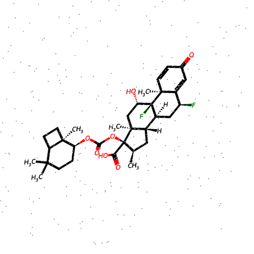 C[C@@H]1C[C@H]2[C@@H]3C[C@H](F)C4=CC(=O)C=C[C@]4(C)[C@@]3(F)[C@@H](O)C[C@]2(C)[C@@]1(OC(=O)O[C@H]1CCC(C)(C)C2CC[C@]21C)C(=O)O